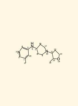 Cc1cncc(NC2CCN(C3CCOC3C)CC2)c1